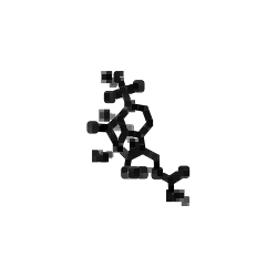 CS(=O)(=O)N1CCC2C(COC(N)=O)=C(C(=O)[O-])N3C(=O)[C@@H]1[C@@H]23.[Na+]